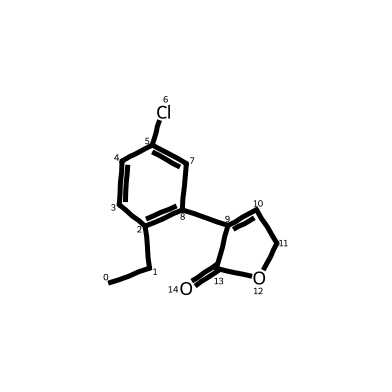 CCc1ccc(Cl)cc1C1=CCOC1=O